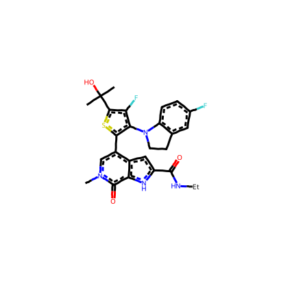 CCNC(=O)c1cc2c(-c3sc(C(C)(C)O)c(F)c3N3CCc4cc(F)ccc43)cn(C)c(=O)c2[nH]1